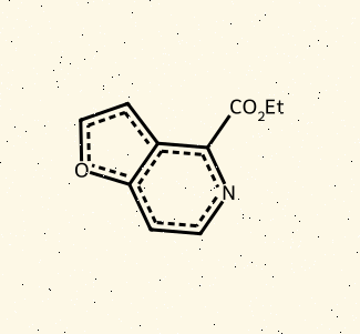 CCOC(=O)c1nccc2occc12